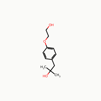 CC(C)(O)Cc1ccc(OCCO)cc1